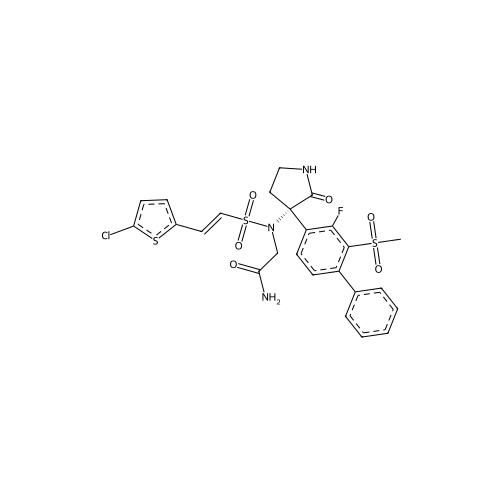 CS(=O)(=O)c1c(-c2ccccc2)ccc([C@@]2(N(CC(N)=O)S(=O)(=O)/C=C/c3ccc(Cl)s3)CCNC2=O)c1F